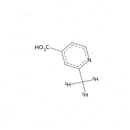 [2H]C([2H])([2H])c1cc(C(=O)O)ccn1